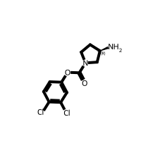 N[C@@H]1CCN(C(=O)Oc2ccc(Cl)c(Cl)c2)C1